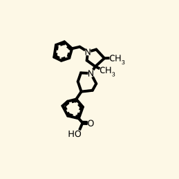 CC1CN(Cc2ccccc2)CC1(C)N1CCC(c2cccc(C(=O)O)c2)CC1